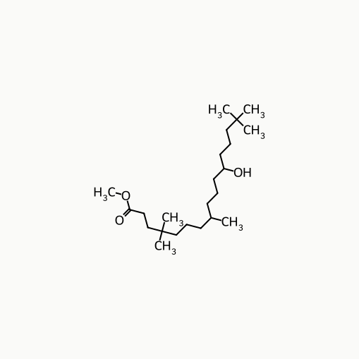 COC(=O)CCC(C)(C)CCCC(C)CCCC(O)CCCC(C)(C)C